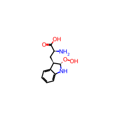 N[C@@H](C[C@@H]1c2ccccc2N[C@H]1OO)C(=O)O